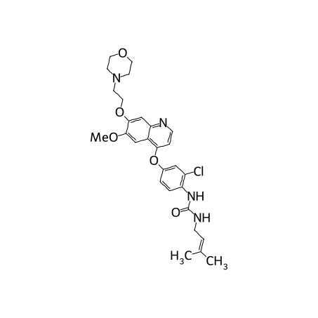 COc1cc2c(Oc3ccc(NC(=O)NCC=C(C)C)c(Cl)c3)ccnc2cc1OCCN1CCOCC1